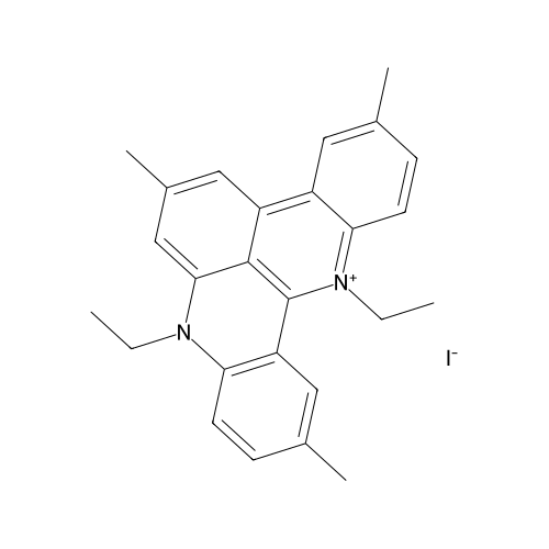 CCN1c2ccc(C)cc2-c2c3c1cc(C)cc3c1cc(C)ccc1[n+]2CC.[I-]